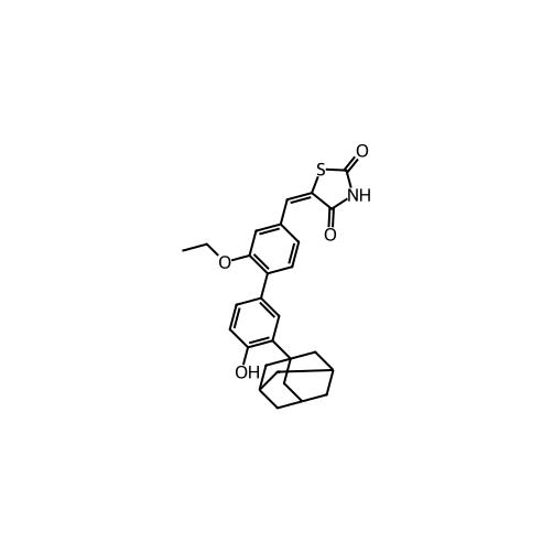 CCOc1cc(C=C2SC(=O)NC2=O)ccc1-c1ccc(O)c(C23CC4CC(CC(C4)C2)C3)c1